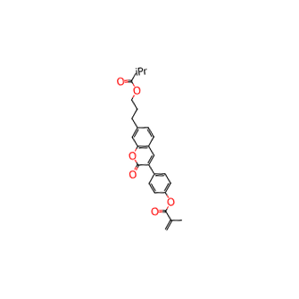 C=C(C)C(=O)Oc1ccc(-c2cc3ccc(CCCOC(=O)C(C)C)cc3oc2=O)cc1